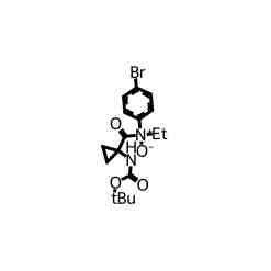 CC[N+]([O-])(C(=O)C1(NC(=O)OC(C)(C)C)CC1)c1ccc(Br)cc1